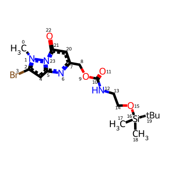 Cn1c(Br)cc2nc(COC(=O)NCCO[Si](C)(C)C(C)(C)C)cc(=O)n21